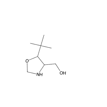 CC(C)(C)C1OCNC1CO